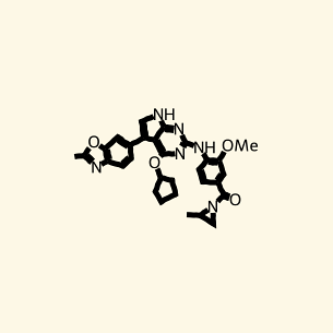 COc1cc(C(=O)N2CC2C)ccc1Nc1nc(OC2CCCC2)c2c(-c3ccc4nc(C)oc4c3)c[nH]c2n1